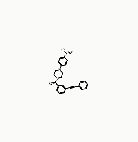 O=C(c1cccc(C#Cc2ccccc2)c1)N1CCN(c2ccc([N+](=O)[O-])cc2)CC1